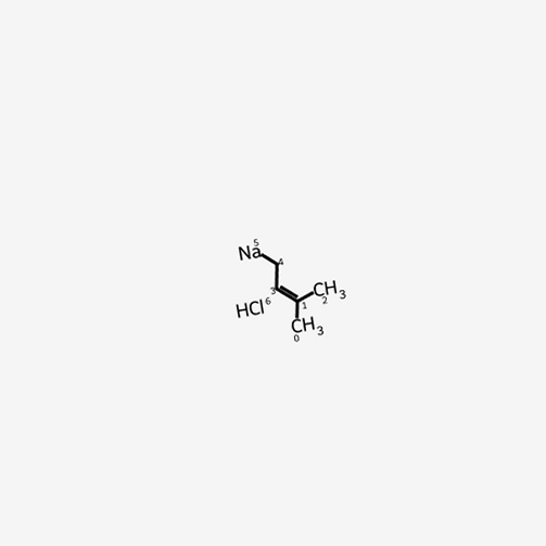 CC(C)=C[CH2][Na].Cl